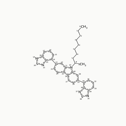 CCCCCCCCC(C)n1c2cc(-c3cccc4nsnc34)ccc2c2ccc(-c3cccc4nsnc34)cc21